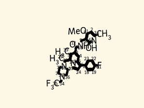 COc1cc(C)[nH]c(=O)c1CNC(=O)c1cc2c(-c3ccc(F)cc3)ccn2c(C(C)N2CCN(CC(F)(F)F)CC2)c1C